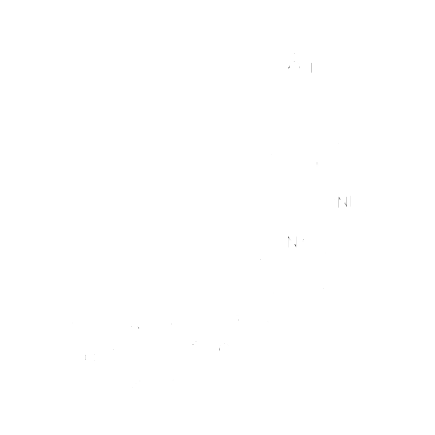 CCC1CN(CC(N)c2ccc(O)cc2)CC1CCOc1ccc(OC)cc1